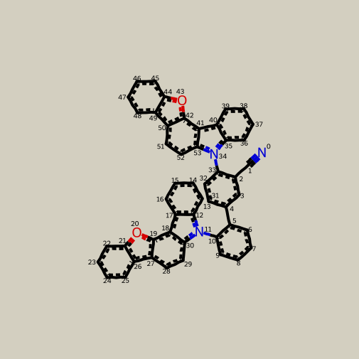 N#Cc1cc(-c2ccccc2-n2c3ccccc3c3c4oc5ccccc5c4ccc32)ccc1-n1c2ccccc2c2c3oc4ccccc4c3ccc21